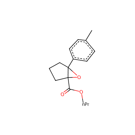 CCCOC(=O)C12CCCC1(c1ccc(C)cc1)O2